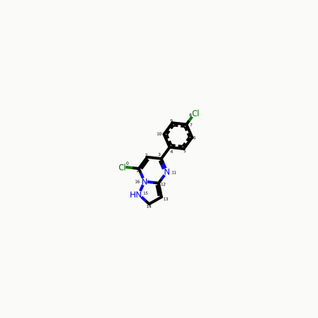 ClC1=CC(c2ccc(Cl)cc2)=NC2=CCNN12